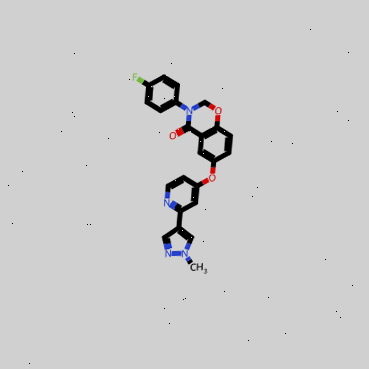 Cn1cc(-c2cc(Oc3ccc4c(c3)C(=O)N(c3ccc(F)cc3)CO4)ccn2)cn1